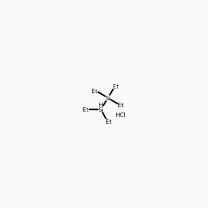 CC[SiH](CC)[Si](CC)(CC)CC.Cl